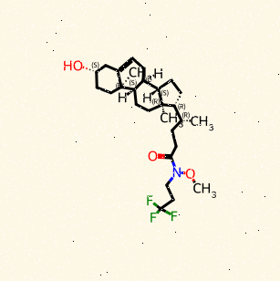 CON(CCC(F)(F)F)C(=O)CC[C@@H](C)[C@H]1CC[C@H]2[C@@H]3CC=C4C[C@@H](O)CC[C@]4(C)[C@H]3CC[C@]12C